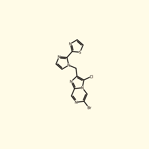 Clc1c(Cn2ccnc2-c2nccs2)nc2cnc(Br)cn12